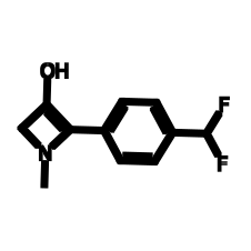 CN1CC(O)=C1c1ccc(C(F)F)cc1